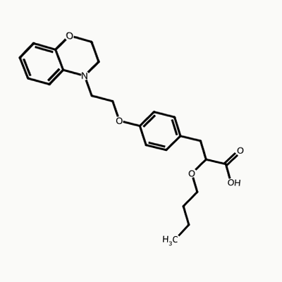 CCCCOC(Cc1ccc(OCCN2CCOc3ccccc32)cc1)C(=O)O